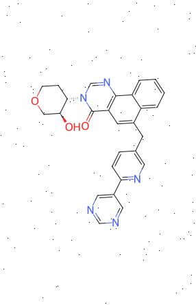 O=c1c2cc(Cc3ccc(-c4cncnc4)nc3)c3ccccc3c2ncn1[C@H]1CCOC[C@@H]1O